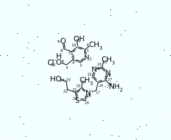 Cc1ncc(CO)c(C=O)c1O.Cc1ncc(C[n+]2csc(CCO)c2C)c(N)n1.[Cl-]